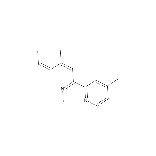 C\C=C/C(C)=C\C(=N\C)c1cc(C)ccn1